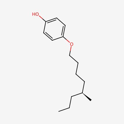 CCC[C@H](C)CCCCOc1ccc(O)cc1